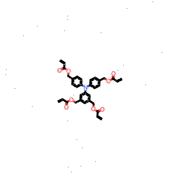 C=CC(=O)OCc1ccc(N(c2ccc(COC(=O)C=C)cc2)c2cc(COC(=O)C=C)cc(COC(=O)C=C)c2)cc1